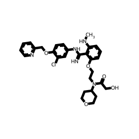 CNc1cccc(OCCN(C(=O)CO)C2CCOCC2)c1C(=N)Nc1ccc(OCc2ccccn2)c(Cl)c1